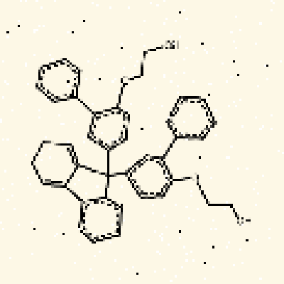 OCCOc1ccc(C2(c3ccc(OCCO)c(-c4ccccc4)c3)C3=CCCC=C3c3ccccc32)cc1-c1ccccc1